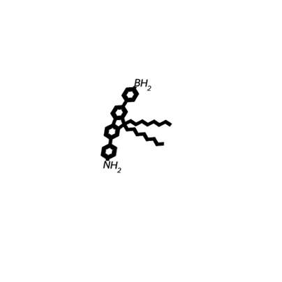 Bc1ccc(-c2ccc3c(c2)C(CCCCCCCC)(CCCCCCCC)c2cc(-c4ccc(N)cc4)ccc2-3)cc1